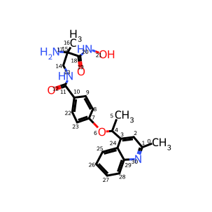 Cc1cc(C(C)Oc2ccc(C(=O)NCC(C)(N)C(=O)NO)cc2)c2ccccc2n1